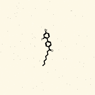 CCCCCCCC(=O)c1ccc(-c2ccc(Br)cc2F)cc1